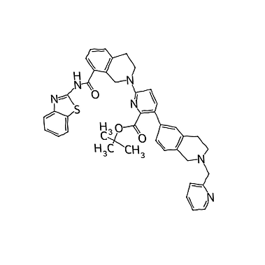 CC(C)(C)OC(=O)c1nc(N2CCc3cccc(C(=O)Nc4nc5ccccc5s4)c3C2)ccc1-c1ccc2c(c1)CCN(Cc1ccccn1)C2